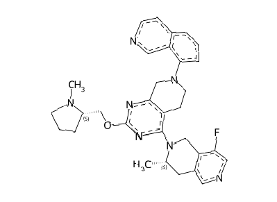 C[C@H]1Cc2cncc(F)c2CN1c1nc(OC[C@@H]2CCCN2C)nc2c1CCN(c1cccc3ccncc13)C2